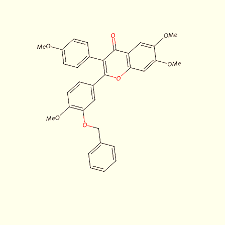 COc1ccc(-c2c(-c3ccc(OC)c(OCc4ccccc4)c3)oc3cc(OC)c(OC)cc3c2=O)cc1